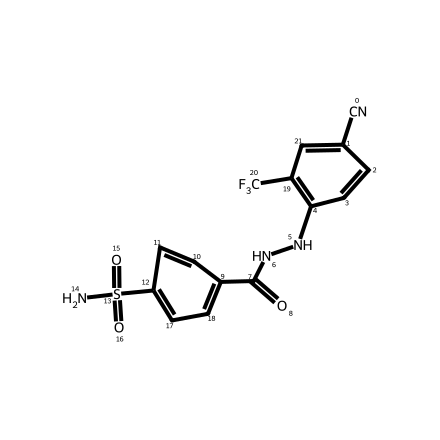 N#Cc1ccc(NNC(=O)c2ccc(S(N)(=O)=O)cc2)c(C(F)(F)F)c1